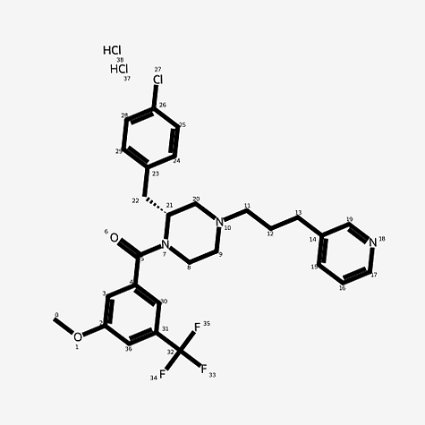 COc1cc(C(=O)N2CCN(CCCc3cccnc3)C[C@H]2Cc2ccc(Cl)cc2)cc(C(F)(F)F)c1.Cl.Cl